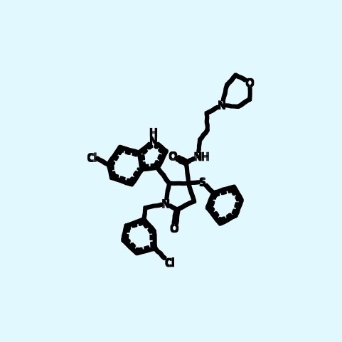 O=C1CC(Sc2ccccc2)(C(=O)NCCCN2CCOCC2)C(c2c[nH]c3cc(Cl)ccc23)N1Cc1cccc(Cl)c1